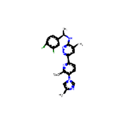 COc1nc(-c2cc(C)c(NC(C)c3ccc(F)c(F)c3)nn2)ccc1-n1cnc(C)c1